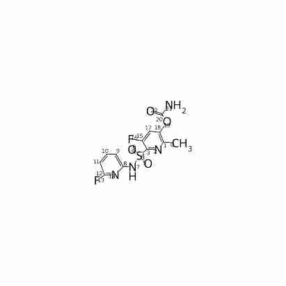 Cc1nc(S(=O)(=O)Nc2cccc(F)n2)c(F)cc1OC(N)=O